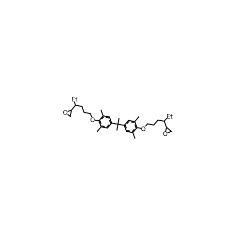 CCC(CCCOc1c(C)cc(C(C)(C)c2cc(C)c(OCCCC(CC)C3CO3)c(C)c2)cc1C)C1CO1